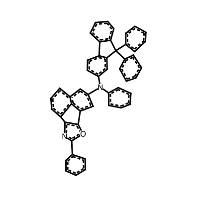 c1ccc(-c2nc3c(o2)-c2cc(N(c4ccccc4)c4ccc5c(c4)C(c4ccccc4)(c4ccccc4)c4ccccc4-5)cc4cccc-3c24)cc1